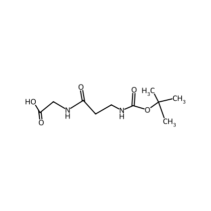 CC(C)(C)OC(=O)NCCC(=O)NCC(=O)O